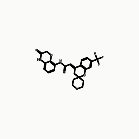 O=C(/C=C1\CC2(CCOCC2)Oc2cc(C(F)(F)F)ccc21)Nc1cccc2c1OCC(=O)N2